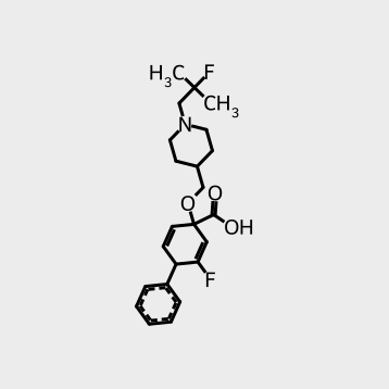 CC(C)(F)CN1CCC(COC2(C(=O)O)C=CC(c3ccccc3)C(F)=C2)CC1